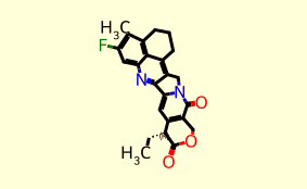 CC[C@H]1C(=O)OCc2c1cc1n(c2=O)Cc2c-1nc1cc(F)c(C)c3c1c2CCC3